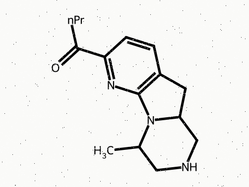 CCCC(=O)c1ccc2c(n1)N1C(C)CNCC1C2